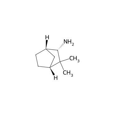 CC1(C)[C@@H]2CC[C@@H](C2)[C@@H]1N